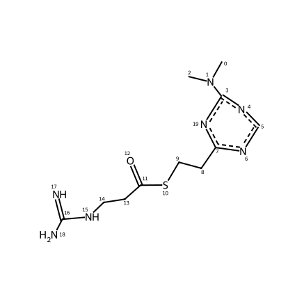 CN(C)c1ncnc(CCSC(=O)CCNC(=N)N)n1